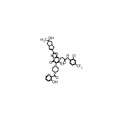 CCc1c(N2CCN(C(=O)c3ncccc3O)CC2)c(=O)n2nc(C3=CC4CC(C)(O)CC4C3)nc2n1CC(=O)Nc1ccc(C(F)(F)F)cc1Cl